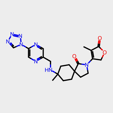 CC1=C(N2CCC3(CCC(C)(NCc4cnc(-n5cnnn5)cn4)CC3)C2=O)COC1=O